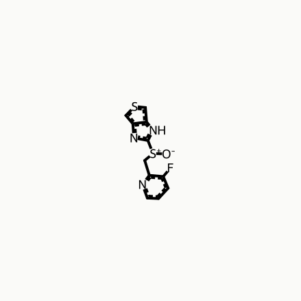 [O-][S+](Cc1ncccc1F)c1nc2cscc2[nH]1